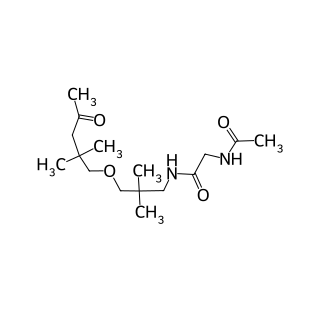 CC(=O)CC(C)(C)COCC(C)(C)CNC(=O)CNC(C)=O